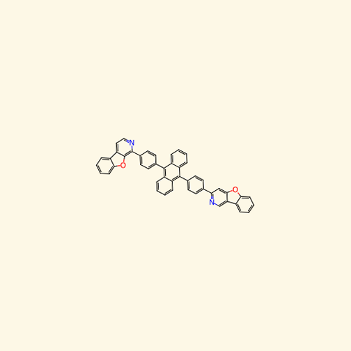 c1ccc2c(c1)oc1cc(-c3ccc(-c4c5ccccc5c(-c5ccc(-c6nccc7c6oc6ccccc67)cc5)c5ccccc45)cc3)ncc12